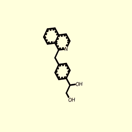 OCC(O)c1ccc(Cc2nccc3ccccc23)cc1